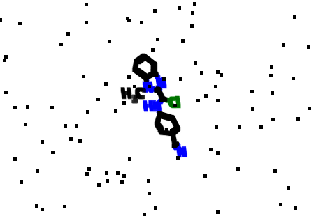 Cn1c(C(Cl)Nc2ccc(C#N)cc2)nc2ccccc21